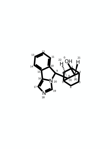 O[C@@H]1C2CCC(CC2)[C@H]1C1c2ccccc2-c2cncn21